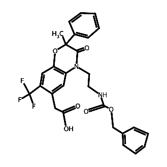 CC1(c2ccccc2)Oc2cc(C(F)(F)F)c(CC(=O)O)cc2N(CCNC(=O)OCc2ccccc2)C1=O